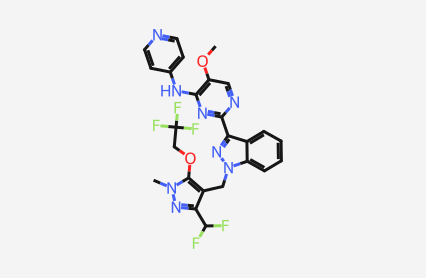 COc1cnc(-c2nn(Cc3c(C(F)F)nn(C)c3OCC(F)(F)F)c3ccccc23)nc1Nc1ccncc1